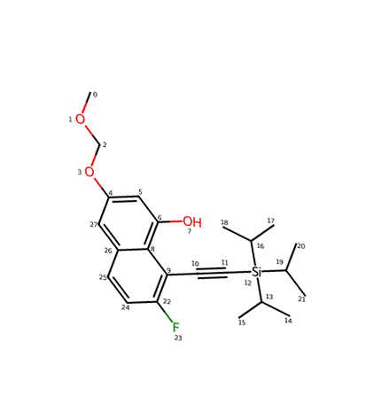 COCOc1cc(O)c2c(C#C[Si](C(C)C)(C(C)C)C(C)C)c(F)ccc2c1